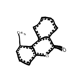 Cc1cccc2oc(=O)c3ccccc3c12